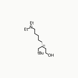 CCN(CC)CCCCC[C@H](CCO)CC(C)(C)C